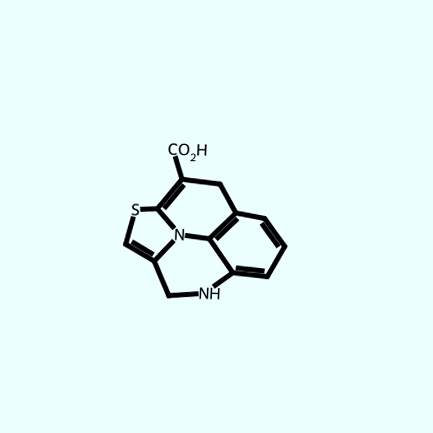 O=C(O)C1=C2SC=C3CNc4cccc(c4N32)C1